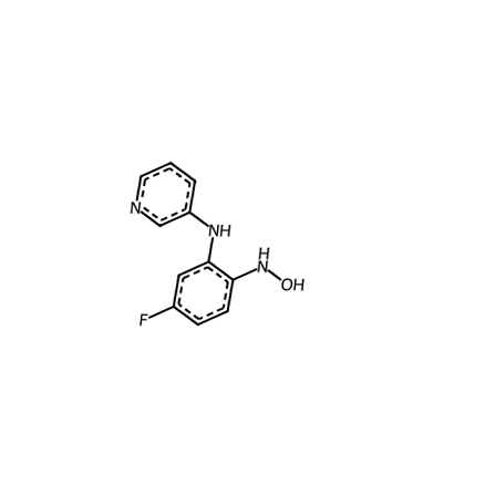 ONc1ccc(F)cc1Nc1cccnc1